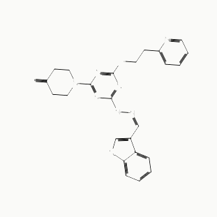 O=C1CCN(c2nc(N/N=C\c3c[nH]c4ccccc34)nc(OCCc3ccccn3)n2)CC1